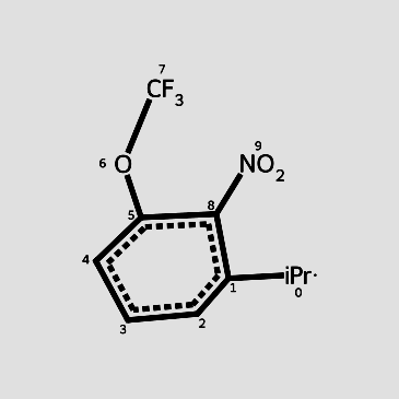 C[C](C)c1cccc(OC(F)(F)F)c1[N+](=O)[O-]